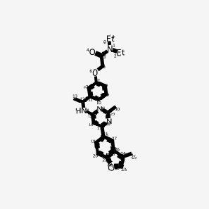 CCN(CC)C(=O)COc1cccc(C(C)Nc2cc(-c3ccc4occ(C)c4c3)nc(C)n2)c1